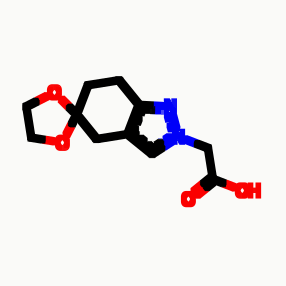 O=C(O)Cn1cc2c(n1)CCC1(C2)OCCO1